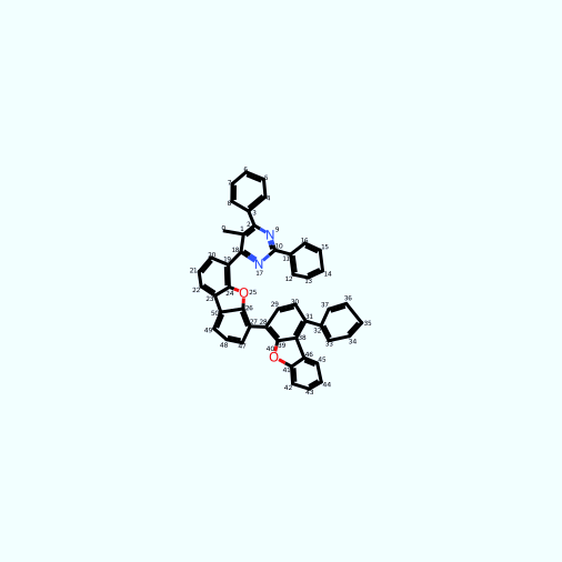 Cc1c(-c2ccccc2)nc(-c2ccccc2)nc1-c1cccc2c1oc1c(-c3ccc(-c4ccccc4)c4c3oc3ccccc34)cccc12